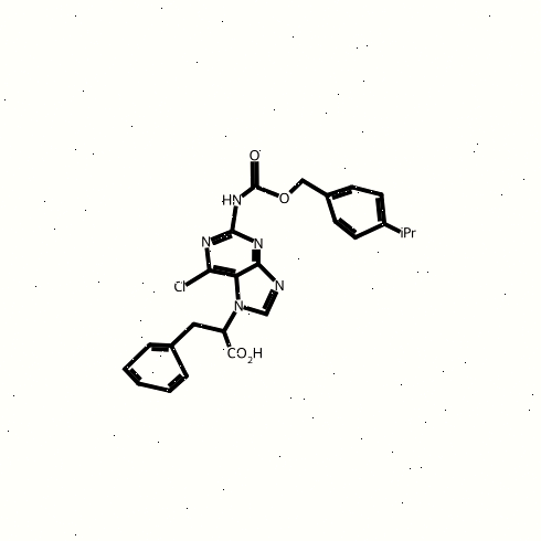 CC(C)c1ccc(COC(=O)Nc2nc(Cl)c3c(ncn3C(Cc3ccccc3)C(=O)O)n2)cc1